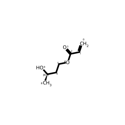 C=CC(=O)OCC[C@@H](C)O